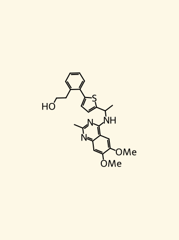 COc1cc2nc(C)nc(NC(C)c3ccc(-c4ccccc4CCO)s3)c2cc1OC